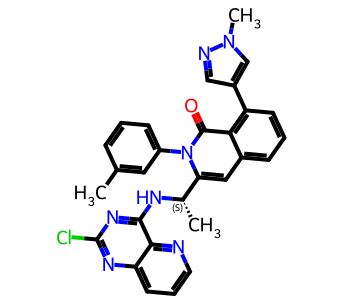 Cc1cccc(-n2c([C@H](C)Nc3nc(Cl)nc4cccnc34)cc3cccc(-c4cnn(C)c4)c3c2=O)c1